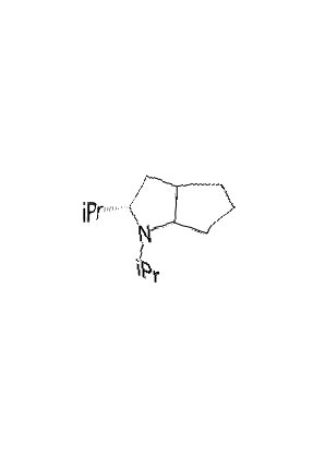 CC(C)[C@@H]1CC2CCCC2N1C(C)C